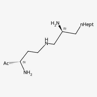 CCCCCCCC[C@H](N)CNCC[C@H](N)C(C)=O